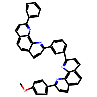 COc1ccc(-c2ccc3ccc4ccc(-c5cccc(-c6ccc7ccc8ccc(-c9ccccc9)nc8c7n6)c5)nc4c3n2)cc1